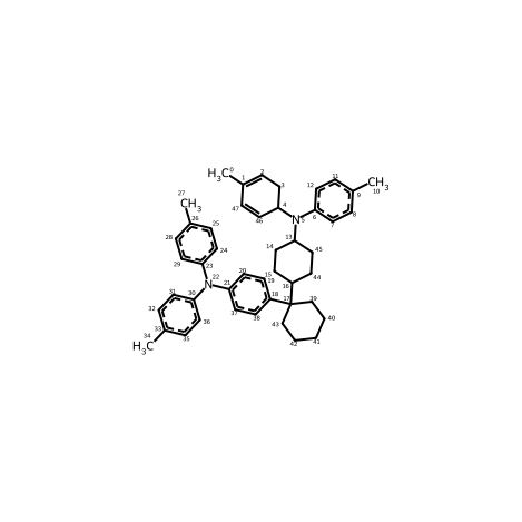 CC1=CCC(N(c2ccc(C)cc2)C2CCC(C3(c4ccc(N(c5ccc(C)cc5)c5ccc(C)cc5)cc4)CCCCC3)CC2)C=C1